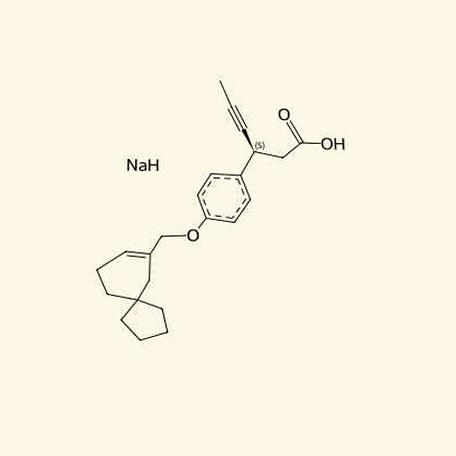 CC#C[C@@H](CC(=O)O)c1ccc(OCC2=CCCC3(CCCC3)C2)cc1.[NaH]